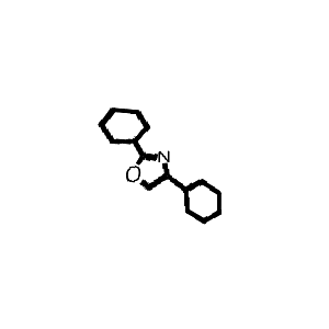 C1CCC(C2=NC(C3CCCCC3)CO2)CC1